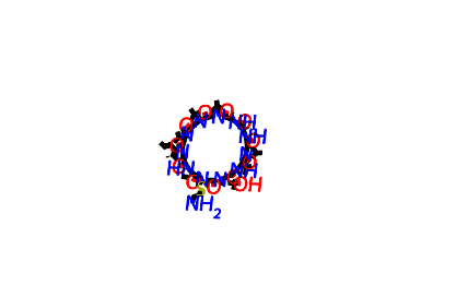 C/C=C/C[C@@H](C)C[C@H]1C(=O)N[C@@H](CC)C(=O)N(C)[C@H](CSCCN)C(=O)N(C)[C@@H](CC(C)(C)O)C(=O)N[C@H](C(C)C)C(=O)N(C)[C@H](CC(C)C)C(=O)N[C@H](C)C(=O)N[C@@H](C)C(=O)N(C)[C@@H](CC(C)C)C(=O)N(C)[C@@H](CC(C)C)C(=O)N(C)[C@@H](C(C)C)C(=O)N1C